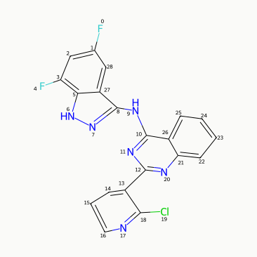 Fc1cc(F)c2[nH]nc(Nc3nc(-c4cccnc4Cl)nc4ccccc34)c2c1